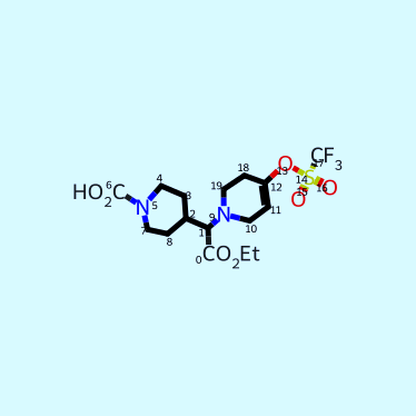 CCOC(=O)C(C1CCN(C(=O)O)CC1)N1CC=C(OS(=O)(=O)C(F)(F)F)CC1